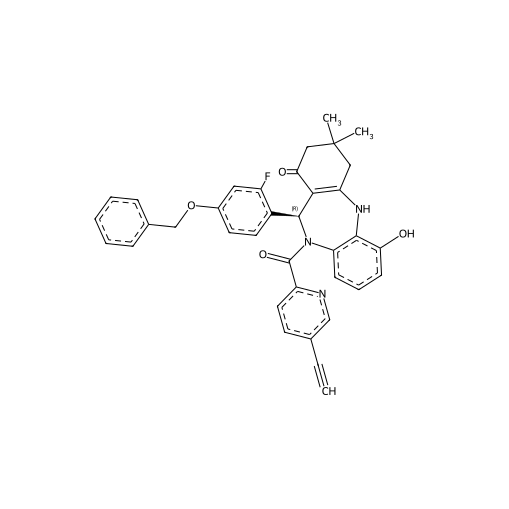 C#Cc1ccc(C(=O)N2c3cccc(O)c3NC3=C(C(=O)CC(C)(C)C3)[C@@H]2c2ccc(OCc3ccccc3)cc2F)nc1